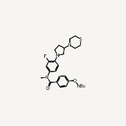 CCCCOc1ccc(C(=O)N(C)c2ccc(N3CCC(N4CCSCC4)C3)c(F)c2)cc1